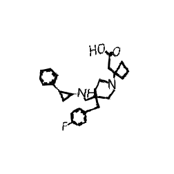 O=C(O)CC1(N2CCC(CN[C@@H]3C[C@H]3c3ccccc3)(Cc3ccc(F)cc3)CC2)CCC1